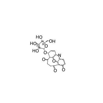 O=C1CCC(=O)C2c3oc4c1c(=O)ccc-4nc3C=CC2OC1O[C@H](CO)[C@@H](O)[C@H](O)[C@H]1O